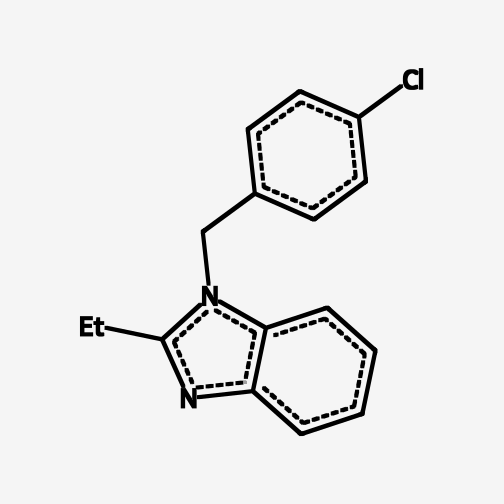 CCc1nc2ccccc2n1Cc1ccc(Cl)cc1